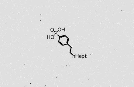 CCCCCCCCCc1ccc(P(=O)(O)O)cc1